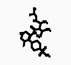 CCC(F)CNC(C)C(C(=O)NC1=C(N2CCC(S(C)(=O)=O)CC2)C(F)CNC1)C(N)N